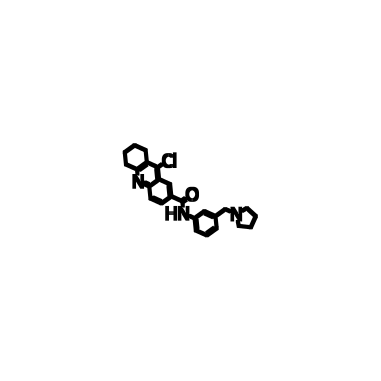 O=C(Nc1cccc(CN2CCCC2)c1)c1ccc2nc3c(c(Cl)c2c1)CCCC3